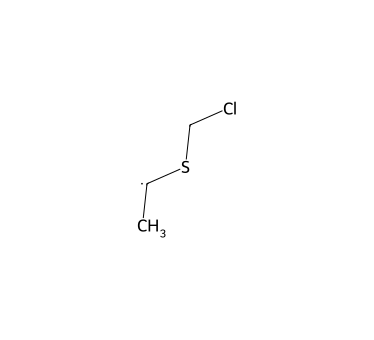 C[CH]SCCl